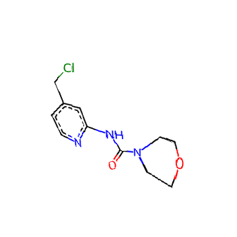 O=C(Nc1cc(CCl)ccn1)N1CCOCC1